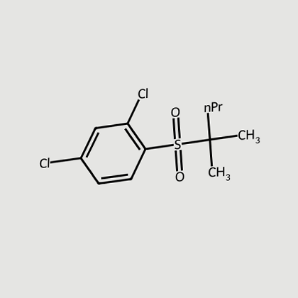 CCCC(C)(C)S(=O)(=O)c1ccc(Cl)cc1Cl